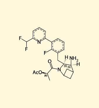 CC(=O)O[C@H](C)C(=O)N1C2CC(C2)[C@H](N)[C@@H]1Cc1cccc(-c2cccc(C(F)F)n2)c1F